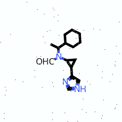 CC(C1CCCCC1)N(C=O)C1CC1c1c[nH]cn1